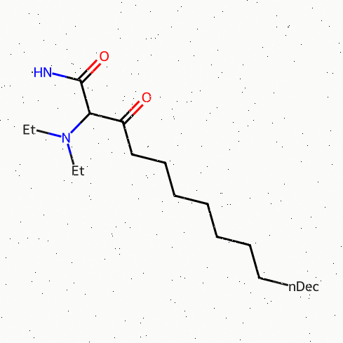 CCCCCCCCCCCCCCCCCC(=O)C(C([NH])=O)N(CC)CC